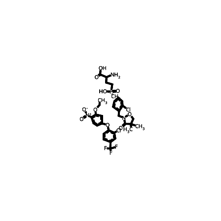 CC1(C)CON(Cc2ccccc2Cl)C1=O.CCOc1cc(Oc2ccc(C(F)(F)F)cc2Cl)ccc1[N+](=O)[O-].CP(=O)(O)CCC(N)C(=O)O